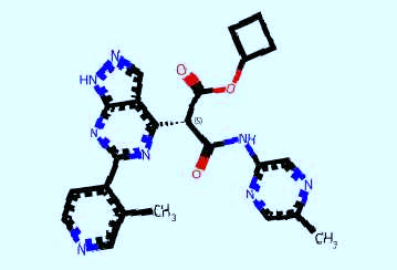 Cc1cnc(NC(=O)[C@@H](C(=O)OC2CCC2)c2nc(-c3ccncc3C)nc3[nH]ncc23)cn1